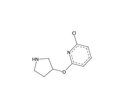 Clc1cccc(OC2CCNC2)n1